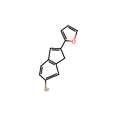 Brc1ccc2c(c1)CC(c1ccco1)=C2